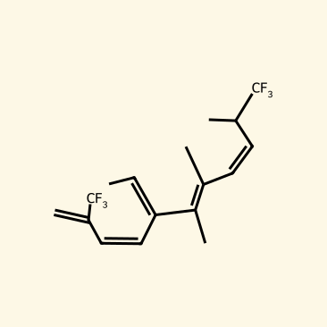 C=C(\C=C/C(=C\C)C(/C)=C(C)/C=C\C(C)C(F)(F)F)C(F)(F)F